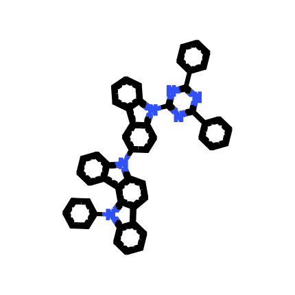 c1ccc(-c2nc(-c3ccccc3)nc(-n3c4ccccc4c4cc(-n5c6ccccc6c6c5ccc5c7ccccc7n(-c7ccccc7)c56)ccc43)n2)cc1